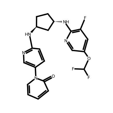 O=c1ccccn1-c1ccc(N[C@H]2CC[C@H](Nc3ncc(OC(F)F)cc3F)C2)nc1